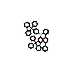 c1ccc(-c2ccc(-c3ccccc3N(c3ccc(C4(c5ccccc5)c5ccccc5-c5ccccc54)cc3)c3ccc4c(c3)C(c3ccccc3)(c3ccccc3)c3ccccc3-4)cc2)cc1